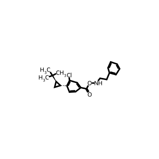 CC(C)(C)[C@@H]1C[C@H]1c1ccc(C(=O)ONCCc2ccccc2)cc1Cl